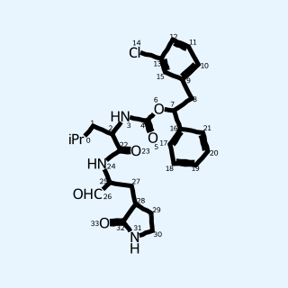 CC(C)CC(NC(=O)OC(Cc1cccc(Cl)c1)c1ccccc1)C(=O)NC(C=O)CC1CCNC1=O